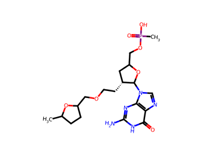 CC1CCC(COCC[C@@H]2CC(COP(C)(=O)O)OC2n2cnc3c(=O)[nH]c(N)nc32)O1